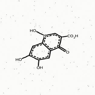 O=C(O)c1cn(O)c2cc(O)c(O)cc2c1=O